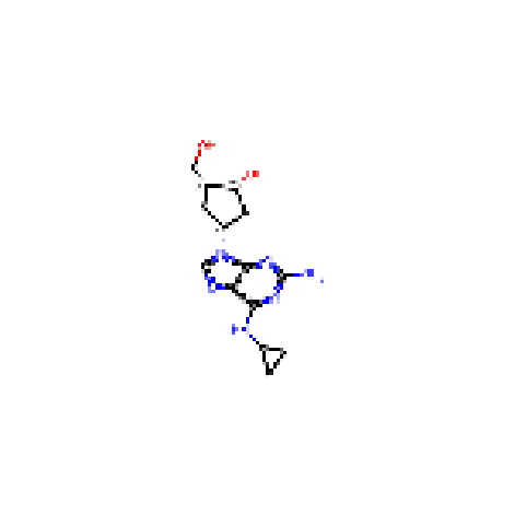 Nc1nc(NC2CC2)c2ncn([C@@H]3C[C@H](CO)[C@H](O)C3)c2n1